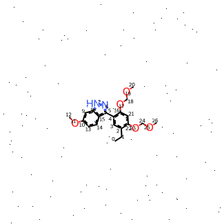 CCc1cc(-c2n[nH]c3cc(OC)ccc23)c(OCOC)cc1OCOC